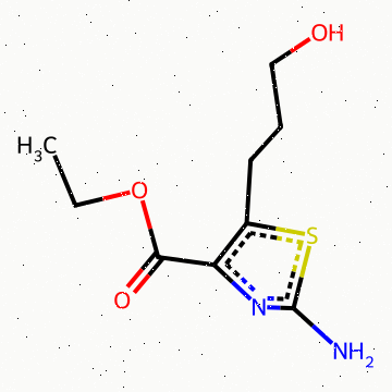 CCOC(=O)c1nc(N)sc1CCCO